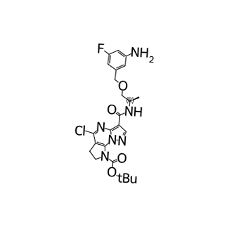 C[C@H](COCc1cc(N)cc(F)c1)NC(=O)c1cnn2c3c(c(Cl)nc12)CCN3C(=O)OC(C)(C)C